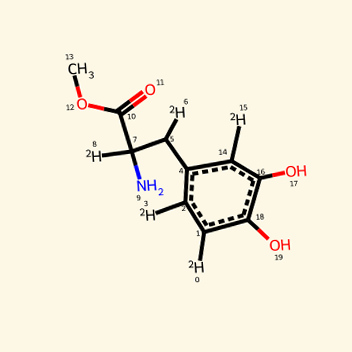 [2H]c1c([2H])c(C([2H])C([2H])(N)C(=O)OC)c([2H])c(O)c1O